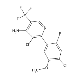 COc1cc(-c2ncc(C(F)(F)F)c(N)c2Cl)c(F)cc1Cl